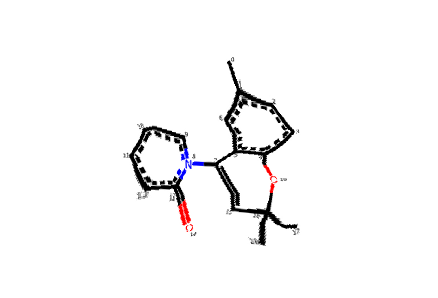 Cc1ccc2c(c1)C(n1ccccc1=O)=CC(C)(C)O2